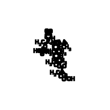 C[C@@H](OCP(=O)(O)O)[C@@H](CN[C@]12CC[C@@H](C3(C)CC3)[C@@H]1[C@H]1CC[C@@H]3[C@@]4(C)CC[C@H](OC(=O)[C@H]5[C@@H](CC(=O)O)C5(C)C)C(C)(C)[C@@H]4CC[C@@]3(C)[C@]1(C)CC2)N1CCS(=O)(=O)CC1